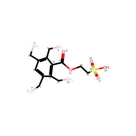 BCc1cc(CB)c(CB)c(C(=O)OCCS(=O)(=O)O)c1CB